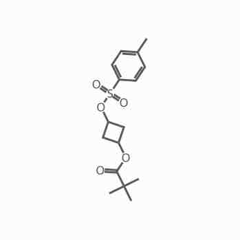 Cc1ccc(S(=O)(=O)OC2CC(OC(=O)C(C)(C)C)C2)cc1